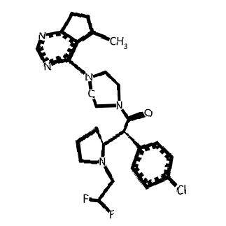 CC1CCc2ncnc(N3CCN(C(=O)[C@@H](c4ccc(Cl)cc4)[C@@H]4CCCN4CC(F)F)CC3)c21